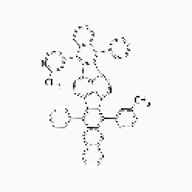 Cc1cccc(-c2c3c(c(-c4ccccc4)c4cc5ccccc5cc24)-c2ccc4c5c(ccc-3c25)-c2c-4c(-c3ccnc(C)c3)c3ccccc3c2-c2ccccc2)c1